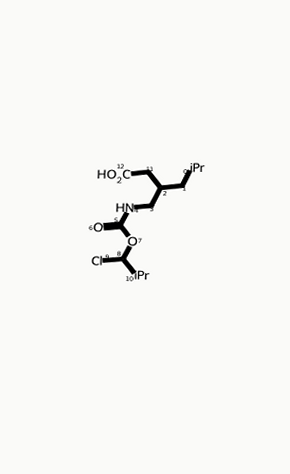 CC(C)CC(CNC(=O)OC(Cl)C(C)C)CC(=O)O